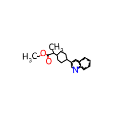 CCOC(=O)C(C)C1CCC(c2cnc3ccccc3c2)CC1